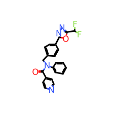 O=C(c1ccncc1)N(Cc1ccc(-c2nnc(C(F)F)o2)cc1)c1ccccc1